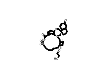 O=C1NS(=O)(=O)CCC/C=C/[C@@H](OCCO)[C@@H]2CC[C@H]2CN2C[C@@]3(CCCc4cc(Cl)ccc43)COc3ccc1cc32